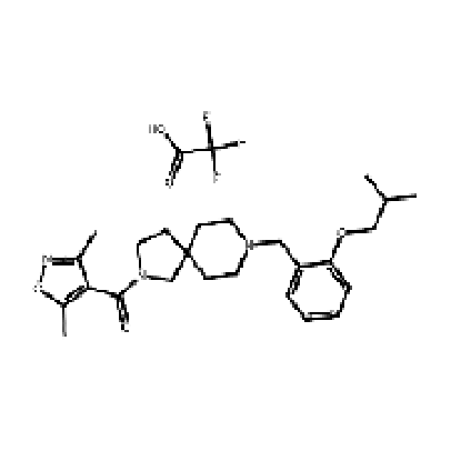 Cc1noc(C)c1C(=O)N1CCC2(CCN(Cc3ccccc3OCC(C)C)CC2)C1.O=C(O)C(F)(F)F